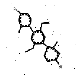 CCc1cc(-c2ccc(Br)cc2C)c(CC)cc1-c1ccc(Br)cc1C